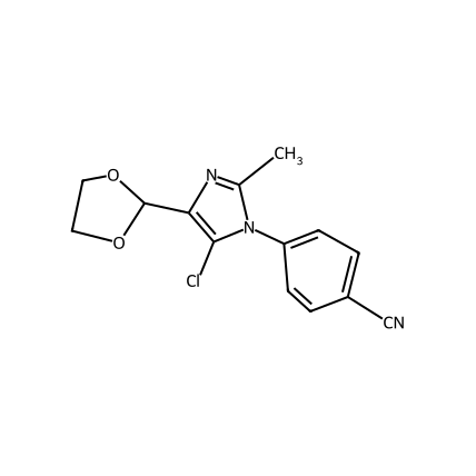 Cc1nc(C2OCCO2)c(Cl)n1-c1ccc(C#N)cc1